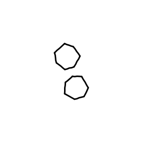 C1CCCCCC1.C1CCCCCC1